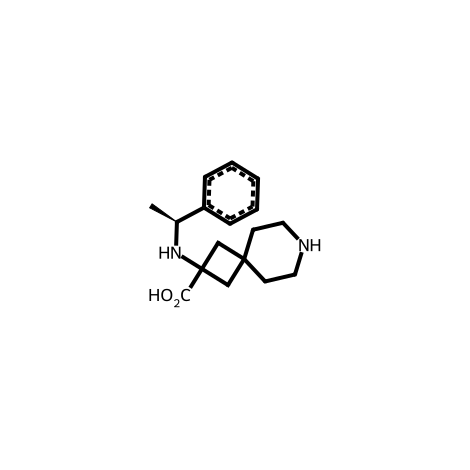 C[C@H](NC1(C(=O)O)CC2(CCNCC2)C1)c1ccccc1